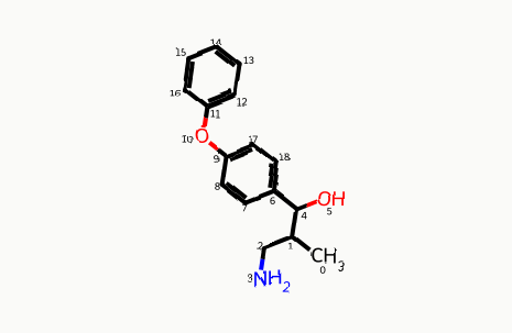 CC(CN)C(O)c1ccc(Oc2ccccc2)cc1